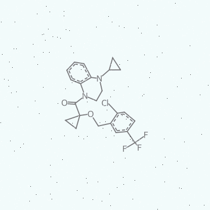 O=C(N1CCN(C2CC2)c2ccccc21)C1(OCc2cc(C(F)(F)F)ccc2Cl)CC1